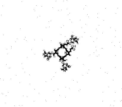 CC1=C(CCC(=O)O)c2cc3[nH]c(cc4nc(cc5[nH]c(cc1n2)c(C(C)OCCn1c([N+](=O)[O-])cnc1C)c5C)C(C(C)OCCn1c([N+](=O)[O-])cnc1C)=C4C)c(C)c3CCC(=O)OCCn1c([N+](=O)[O-])cnc1C